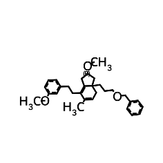 COc1cccc(CCC2=C3C[C@H](OC)CC3(CCCOCc3ccccc3)CC=C2C)c1